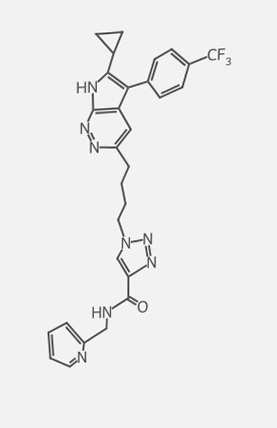 O=C(NCc1ccccn1)c1cn(CCCCc2cc3c(-c4ccc(C(F)(F)F)cc4)c(C4CC4)[nH]c3nn2)nn1